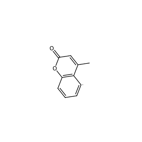 Cc1cc(=O)oc2ccc[c]c12